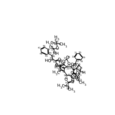 CO[C@H]1C[C@H]2CC[C@@]2(OC(C)=O)[C@H]2[C@H](OC(=O)c3ccccc3)[C@]34OC(=O)O[C@H]3[C@H](OC(=O)[C@H](O)[C@@H](NC(=O)OC(C)(C)C)c3ccccc3)C(C)=C([C@@H](OC(=O)N(C)C)C(=O)[C@]12C)C4(C)C